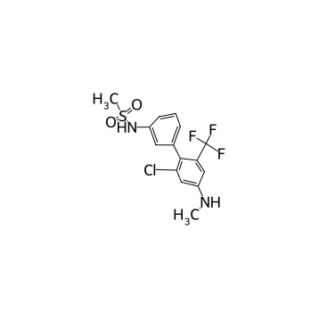 CNc1cc(Cl)c(-c2cccc(NS(C)(=O)=O)c2)c(C(F)(F)F)c1